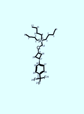 CCC[CH2][Sn]([CH2]CCC)([CH2]CCC)[CH2]O[C@H]1C[C@@H](c2ccc(C(F)(F)F)cc2)C1